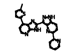 Cc1ccc(-c2ccnc3[nH]c(-c4n[nH]c5ccc(-c6ccccn6)nc45)nc23)s1